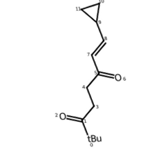 CC(C)(C)C(=O)CCC(=O)/C=C/C1CC1